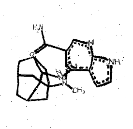 CN(C)C12CC3CC(C1)C(Nc1c(C(N)=O)cnc4[nH]ccc14)C(C3)C2